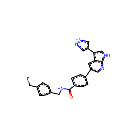 O=C(NCc1ccc(CF)cc1)c1ccc(-c2cnc3[nH]cc(-c4cn[nH]c4)c3c2)cc1